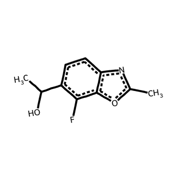 Cc1nc2ccc(C(C)O)c(F)c2o1